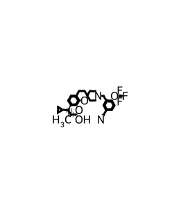 C[C@H](C(=O)O)[C@H](c1ccc2c(c1)OC1(CC2)CCN(Cc2cc(C#N)ccc2OC(F)(F)F)CC1)C1CC1